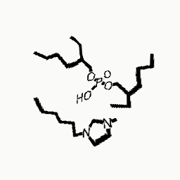 CCCCC(CC)COP(=O)(O)OCC(CC)CCCC.CCCCCCN1C=CN(C)C1